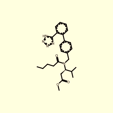 CCCCC(=O)N(Cc1ccc(-c2ccccc2-c2nnn[nH]2)cc1)[C@H](CC(=O)OC)C(C)C